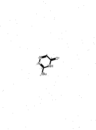 CC(C)(C)c1nncc(=O)[nH]1